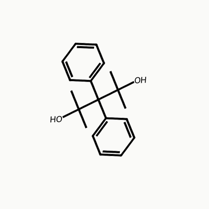 CC(C)(O)C(c1ccccc1)(c1ccccc1)C(C)(C)O